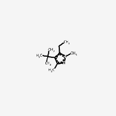 CCc1c(C(C)(C)C)c(C)nn1C